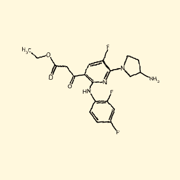 CCOC(=O)CC(=O)c1cc(F)c(N2CCC(N)C2)nc1Nc1ccc(F)cc1F